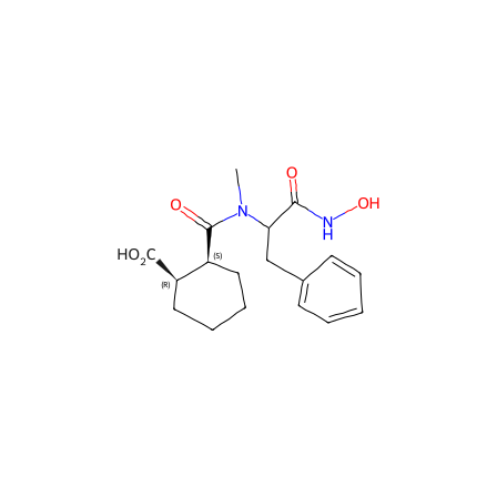 CN(C(=O)[C@H]1CCCC[C@H]1C(=O)O)C(Cc1ccccc1)C(=O)NO